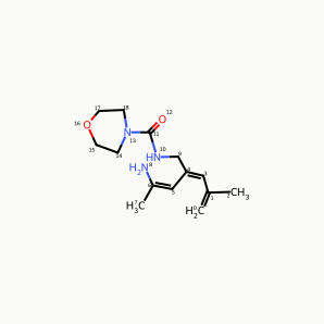 C=C(C)/C=C(\C=C(\C)N)CNC(=O)N1CCOCC1